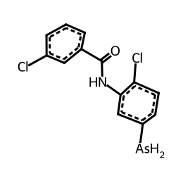 O=C(Nc1cc([AsH2])ccc1Cl)c1cccc(Cl)c1